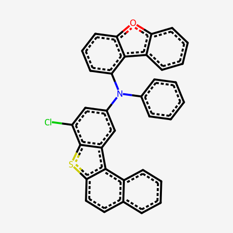 Clc1cc(N(c2ccccc2)c2cccc3oc4ccccc4c23)cc2c1sc1ccc3ccccc3c12